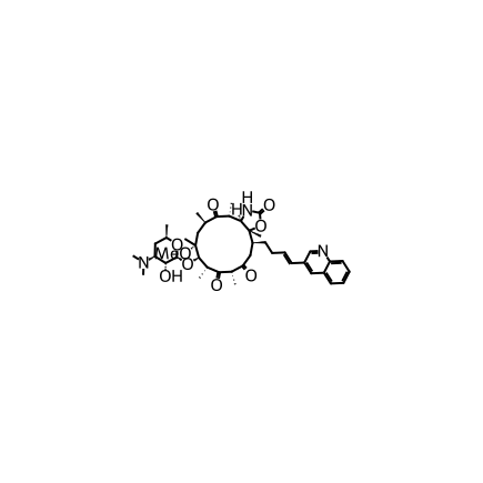 CO[C@]1(C)C[C@@H](C)C(=O)[C@H](C)[C@H]2NC(=O)O[C@]2(C)[C@@H](CC/C=C/c2cnc3ccccc3c2)CC(=O)[C@H](C)C(=O)[C@H](C)[C@H]1O[C@@H]1O[C@H](C)C[C@H](N(C)C)[C@H]1O